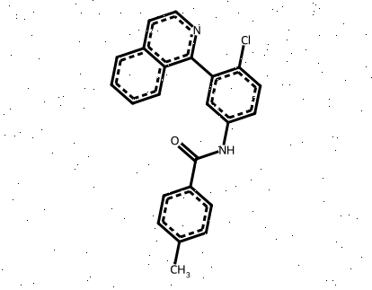 Cc1ccc(C(=O)Nc2ccc(Cl)c(-c3nccc4ccccc34)c2)cc1